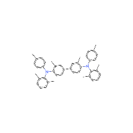 Cc1ccc(N(c2ccc(-c3ccc(N(c4ccc(C)cc4)c4c(C)cccc4C)c(C)c3)cc2C)c2c(C)cccc2C)cc1